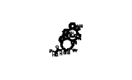 Cc1ccc2cc1[C@]13c4cccc(c4NC1C)-c1cccc4[nH]cc(c14)-c1cnc(o1)-c1nc(oc13)[C@H](C(C)C)NC(=O)[C@@H](NC(=O)[C@@H](O)C(C)C)C2